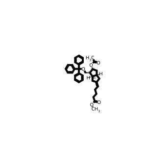 COC(=O)CCCC=C1C[C@@H]2C[C@@H](OC(C)=O)[C@H](COC(c3ccccc3)(c3ccccc3)c3ccccc3)[C@@H]2C1